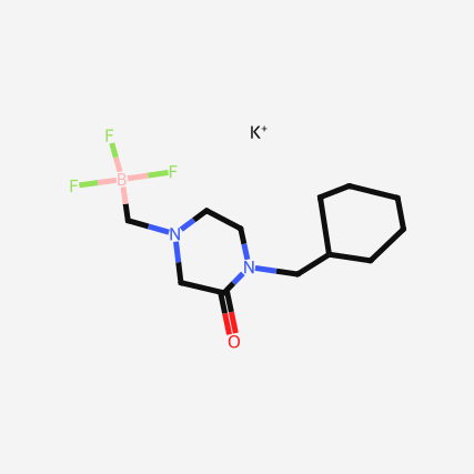 O=C1CN(C[B-](F)(F)F)CCN1CC1CCCCC1.[K+]